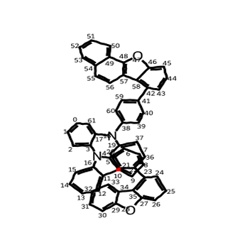 c1ccc(-n2c3ccccc3c3ccccc32)c(N(c2ccc(-c3cccc4oc5ccccc5c34)cc2)c2ccc(-c3cccc4oc5c6ccccc6ccc5c34)cc2)c1